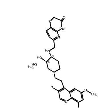 COc1cc(F)c2ncc(F)c(CCN3CC[C@H](NCc4ccc5c(n4)NC(=O)CS5)[C@H](O)C3)c2c1.Cl.Cl